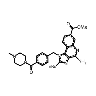 CCCCc1nc2c(N)nc3cc(C(=O)OC)ccc3c2n1Cc1ccc(C(=O)N2CCN(C)CC2)cc1